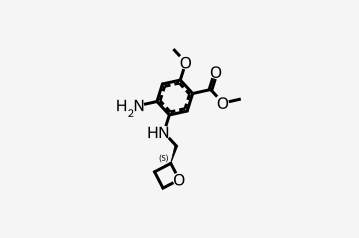 COC(=O)c1cc(NC[C@@H]2CCO2)c(N)cc1OC